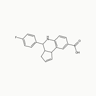 O=C(O)c1ccc2c(c1)C1C=CCC1C(c1ccc(F)cc1)N2